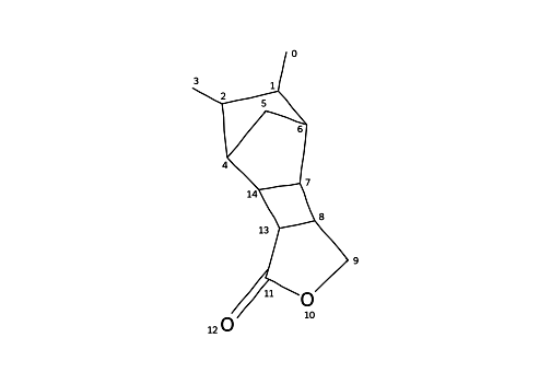 CC1C(C)C2CC1C1C3COC(=O)C3C21